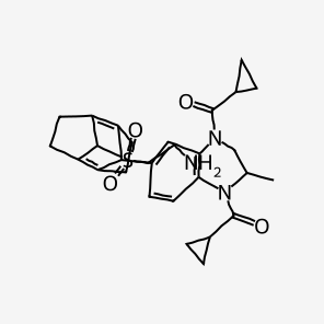 CC1CN(C(=O)C2CC2)c2cc(C3C4=C5CCC(=C3CC4)C5S(=O)(=O)CCN)ccc2N1C(=O)C1CC1